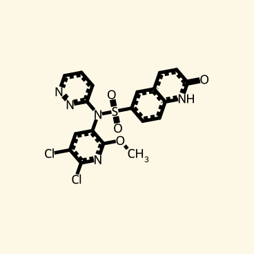 COc1nc(Cl)c(Cl)cc1N(c1cccnn1)S(=O)(=O)c1ccc2[nH]c(=O)ccc2c1